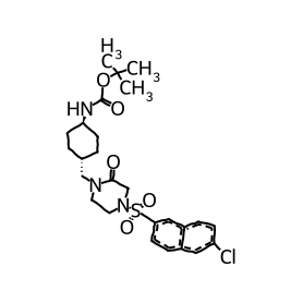 CC(C)(C)OC(=O)N[C@H]1CC[C@H](CN2CCN(S(=O)(=O)c3ccc4cc(Cl)ccc4c3)CC2=O)CC1